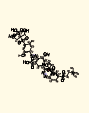 COc1cc(S(=O)(=O)C(CO)(CO)S(=O)(=O)O)c(C)cc1/N=N/c1c(S(=O)(=O)O)cc2c(/N=N\c3ccc(S(=O)(=O)CC[N+](C)(C)C)cc3S(=O)(=O)O)c(N)ccc2c1O